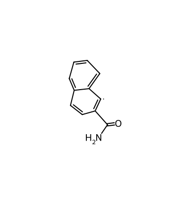 NC(=O)c1[c]c2ccccc2cc1